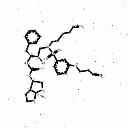 C=CCCCCN(C[C@@H](O)[C@H](Cc1ccccc1)NC(=O)O[C@H]1CO[C@H]2OCCC21)S(=O)(=O)c1cccc(OCCC=C)c1